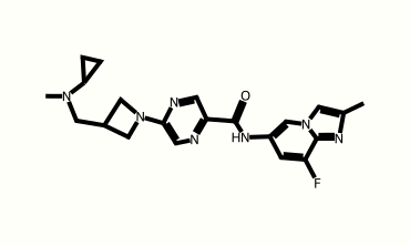 Cc1cn2cc(NC(=O)c3cnc(N4CC(CN(C)C5CC5)C4)cn3)cc(F)c2n1